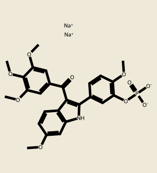 COc1ccc2c(C(=O)c3cc(OC)c(OC)c(OC)c3)c(-c3ccc(OC)c(OP(=O)([O-])[O-])c3)[nH]c2c1.[Na+].[Na+]